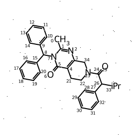 Cc1nc2c(c(=O)n1C(c1ccccc1)c1ccccc1)CCN(C(=O)C(c1ccccc1)C(C)C)C2